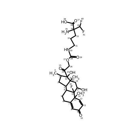 CC1CC2C3CCC4=CC(=O)C=CC4(C)C3(F)C(O)CC2(C)C1(O)C(=O)COC(=O)NCCCC(N)(C(=O)O)C(F)F